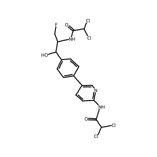 O=C(Nc1ccc(-c2ccc(C(O)C(CF)NC(=O)C(Cl)Cl)cc2)cn1)C(Cl)Cl